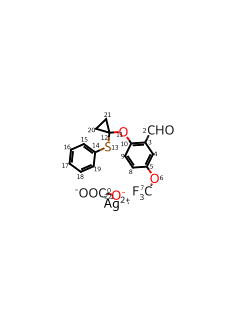 O=C([O-])[O-].O=Cc1cc(OC(F)(F)F)ccc1OC1(Sc2ccccc2)CC1.[Ag+2]